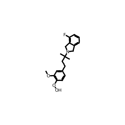 COc1cc(CCC(C)(C)N2Cc3cccc(F)c3C2)ccc1OO